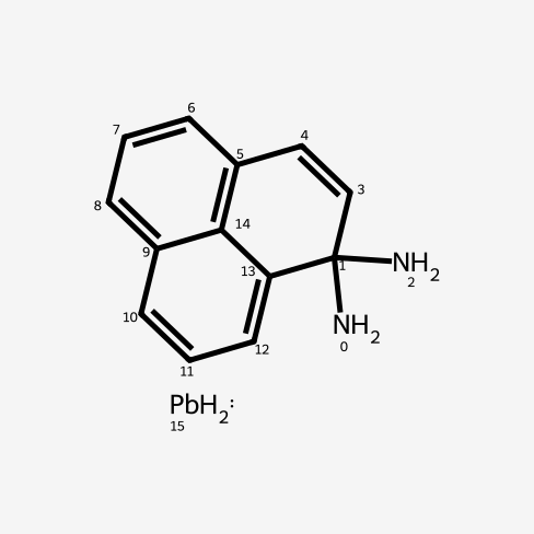 NC1(N)C=Cc2cccc3cccc1c23.[PbH2]